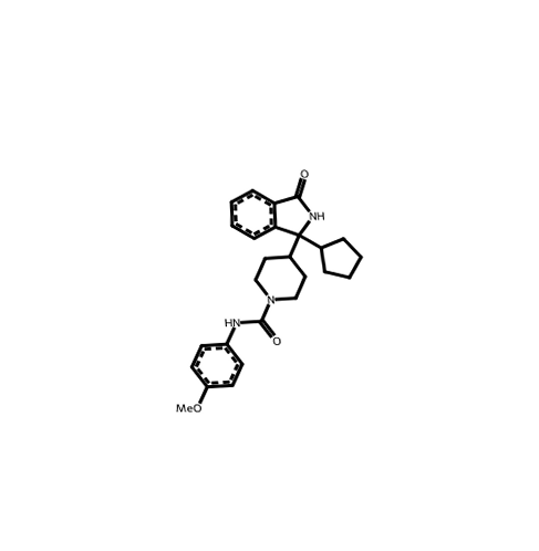 COc1ccc(NC(=O)N2CCC(C3(C4CCCC4)NC(=O)c4ccccc43)CC2)cc1